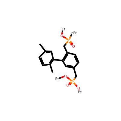 CCCP(=O)(Cc1ccc(CP(=O)(OCC)OCC)cc1-c1cc(C)ccc1C)OCC